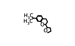 CC(C)c1ccc2c(c1)OC(C1CCCO1)CC2